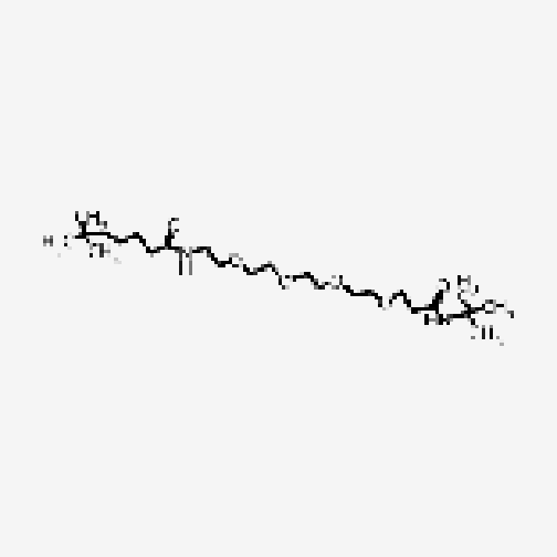 CC(C)(C)CCCCC(=O)NCCOCCOCCOCCOCCC(=O)NC(C)(C)C